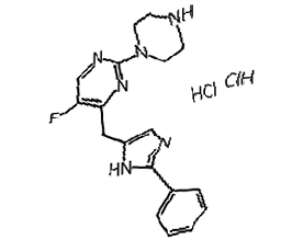 Cl.Cl.Fc1cnc(N2CCNCC2)nc1Cc1cnc(-c2ccccc2)[nH]1